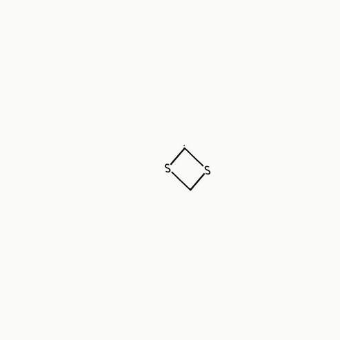 [CH]1SCS1